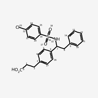 O=C(O)CCc1ccc(C(Cc2ccccc2)NS(=O)(=O)c2ccc(Cl)cc2)cc1